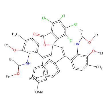 CCOc1c(C)ccc(C(=CC2(C=C(c3ccc(OC)cc3)c3ccc(C)c(OCC)c3NC(CC)OCC)OC(=O)c3c(Cl)c(Cl)c(Cl)c(Cl)c32)c2ccc(OC)cc2)c1NC(CC)OCC